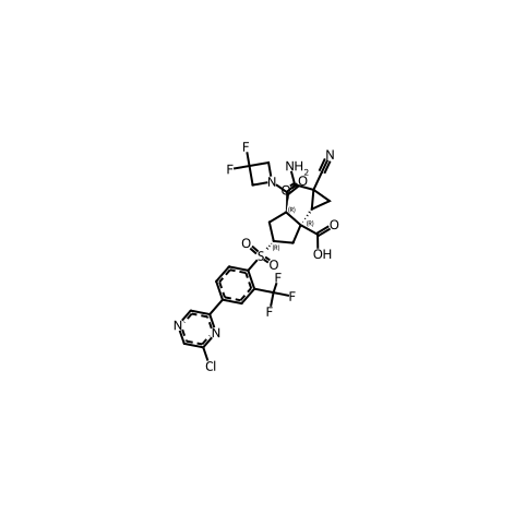 N#CC1(C(N)=O)CC1[C@]1(C(=O)O)C[C@H](S(=O)(=O)c2ccc(-c3cncc(Cl)n3)cc2C(F)(F)F)C[C@H]1C(=O)N1CC(F)(F)C1